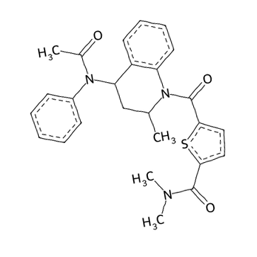 CC(=O)N(c1ccccc1)C1CC(C)N(C(=O)c2ccc(C(=O)N(C)C)s2)c2ccccc21